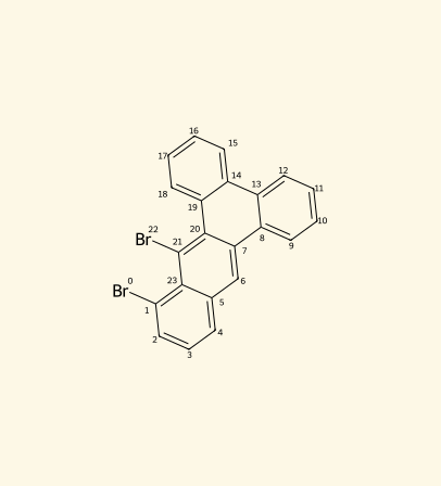 Brc1cccc2cc3c4ccccc4c4ccccc4c3c(Br)c12